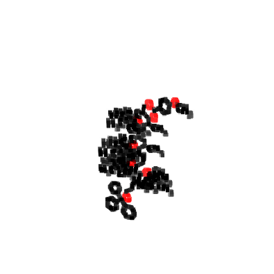 COc1ccc(C2OC[C@H](C)[C@@H]([C@@H](C)[C@H](CC[C@H](C)C[C@H](C)[C@@H](O[Si](C)(C)C(C)(C)C)[C@@H](C)/C=C\[C@H](C[C@H](O[Si](C)(C)C(C)(C)C)[C@H](C)/C=C/COC(c3ccccc3)(c3ccccc3)c3ccccc3)O[Si](C)(C)C(C)(C)C)O[Si](C)(C)C(C)(C)C)O2)cc1